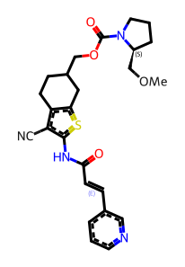 COC[C@@H]1CCCN1C(=O)OCC1CCc2c(sc(NC(=O)/C=C/c3cccnc3)c2C#N)C1